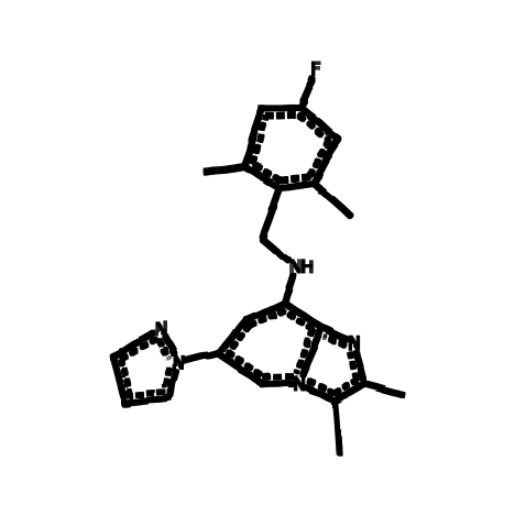 Cc1cc(F)cc(C)c1CNc1cc(-n2cccn2)cn2c(C)c(C)nc12